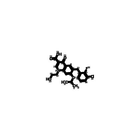 CC(C)Oc1cc2c(cc1Cc1cccc(Cl)c1F)c(=O)c(C(=O)O)cn2CCO